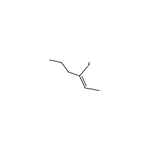 [CH2]/C=C(\F)CCC